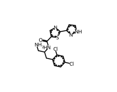 NCC(Cc1ccc(Cl)cc1Cl)NC(=O)c1cnc(-c2cc[nH]n2)s1